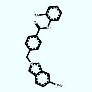 COc1ccc2cn(Cc3ccc(C(=O)Nc4ccccc4N)cc3)nc2c1